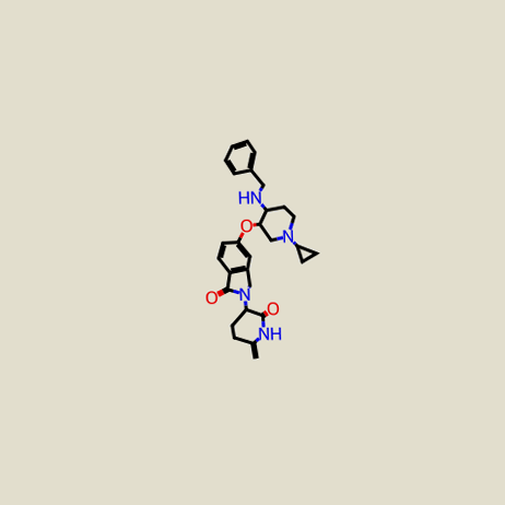 C=C1CCC(N2Cc3cc(OC4CN(C5CC5)CCC4NCc4ccccc4)ccc3C2=O)C(=O)N1